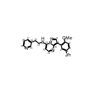 COc1ccc(C(C)C)cc1-c1cnn2c(NCCc3cccnc3)ccnc12